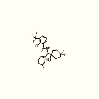 O=C(NC(c1cccc(F)c1)C1(O)CCC(F)(F)CC1)c1nccc(C(F)(F)F)c1Cl